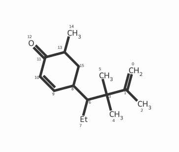 C=C(C)C(C)(C)C(CC)C1C=CC(=O)C(C)C1